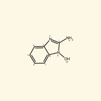 Nc1nc2ccccc2n1O